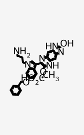 CC(=O)O.NCCCn1cc(-c2nc3cc4[nH]c(O)nc4cc3[nH]c2=O)c2ccc(OCc3ccccc3)cc21